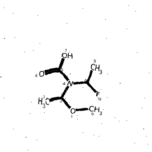 COC(C)N(C(=O)O)C(C)F